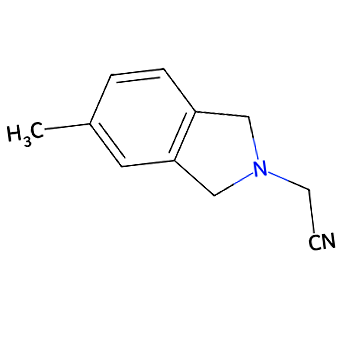 Cc1ccc2c(c1)CN(CC#N)C2